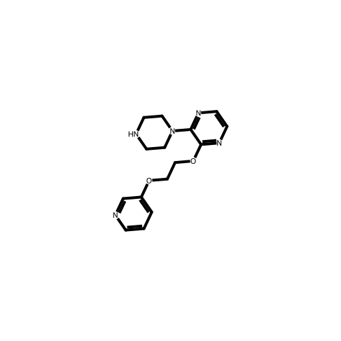 c1cncc(OCCOc2nccnc2N2CCNCC2)c1